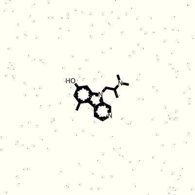 Cc1cc(O)cc2c1c1ccncc1n2CC(C)N(C)C